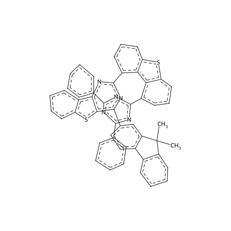 CC1(C)c2ccccc2-c2ccc(-c3nc(-c4cccc5sc6cccc(-c7nc(-c8ccccc8)nc(-c8ccccc8)n7)c6c45)nc4c3sc3ccccc34)cc21